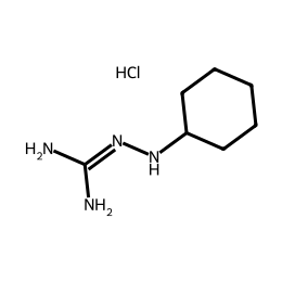 Cl.NC(N)=NNC1CCCCC1